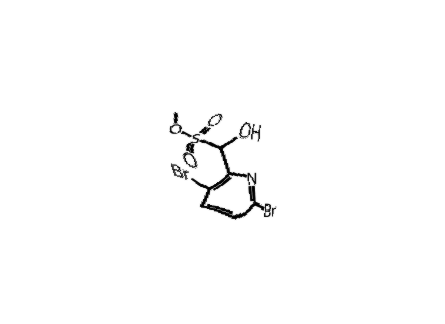 COS(=O)(=O)C(O)c1nc(Br)ccc1Br